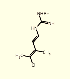 CC(=O)NC(=N)NC=C/C(C)=C(\C)Cl